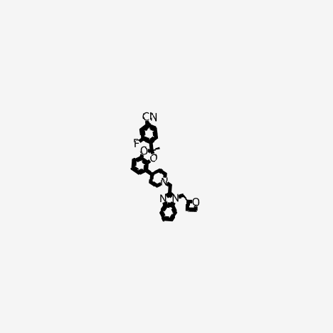 C[C@]1(c2ccc(C#N)cc2F)Oc2cccc(C3CCN(Cc4nc5ccccc5n4C[C@@H]4CCO4)CC3)c2O1